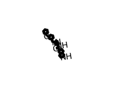 O=C(Nc1cn(Cc2cccc(Oc3ccccc3)c2)cn1)c1ccc2c(c1)CCNC2